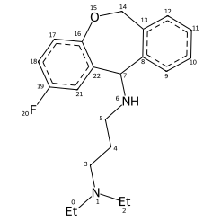 CCN(CC)CCCNC1c2ccccc2COc2ccc(F)cc21